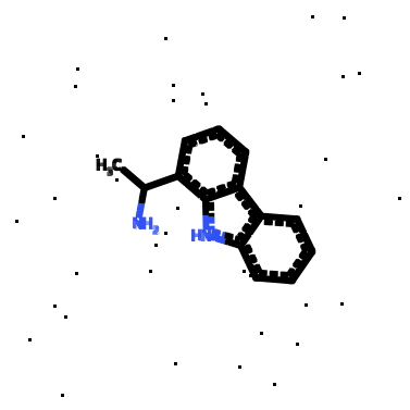 CC(N)c1cccc2c1[nH]c1ccccc12